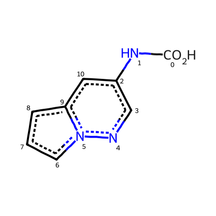 O=C(O)Nc1cnn2cccc2c1